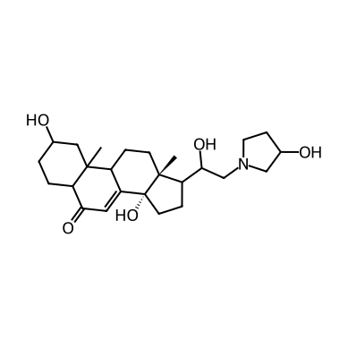 CC12CC(O)CCC1C(=O)C=C1C2CC[C@]2(C)C(C(O)CN3CCC(O)C3)CC[C@@]12O